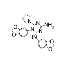 NC1=NC(Nc2ccc3c(c2)OCO3)N(c2ccc3c(c2)OCO3)C(N2CCCC2)=N1